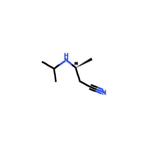 CC(C)N[C@H](C)CC#N